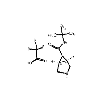 CC(C)(C)NC(=O)C1[C@H]2CNC[C@@H]12.O=C(O)C(F)(F)F